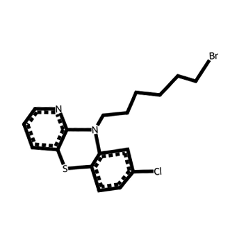 Clc1ccc2c(c1)N(CCCCCCBr)c1ncccc1S2